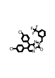 O=c1n(Cc2cccc(C(F)(F)F)c2)nc2c(-c3ccc(Cl)cc3)c(-c3ccc(Cl)cc3)cnn12